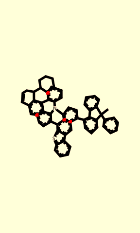 CC1(c2ccccc2)c2ccccc2-c2c(-c3ccc(N(c4ccccc4-c4cccc5c4C(C4CCCCC4)CC=C5)c4ccccc4-c4cccc5c4sc4ccccc45)cc3)cccc21